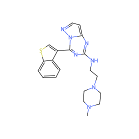 CN1CCN(CCNc2nc(-c3csc4ccccc34)n3nccc3n2)CC1